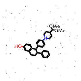 COC(OC)C1CCN(c2ccc(C3c4ccc(O)cc4CCC3c3ccccc3)cc2)CC1